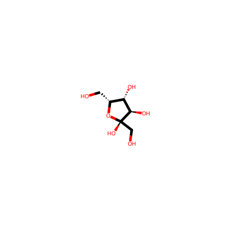 OC[C@H]1O[C@@](O)(CO)[C@H](O)[C@H]1O